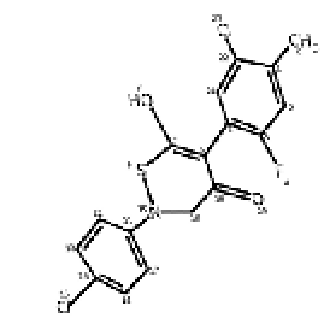 Cc1cc(F)c(C2=C(O)SN(c3ccc(Cl)cc3)CC2=O)cc1Cl